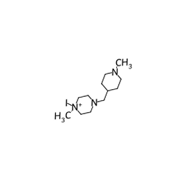 CN1CCC(CN2CC[N+](C)(I)CC2)CC1